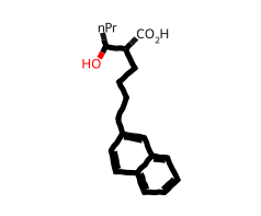 CCCC(O)C(CCCCc1ccc2ccccc2c1)C(=O)O